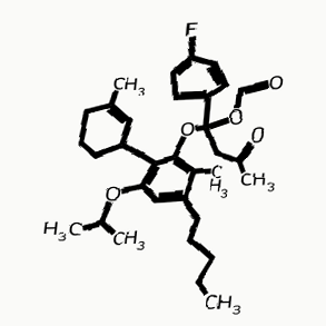 CCCCCc1cc(OC(C)C)c(C2C=C(C)CCC2)c(OC(CC(C)=O)(OC=O)c2ccc(F)cc2)c1C